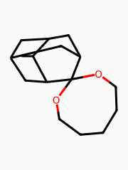 CC1C2CC3CC(C2)C2(OCCCCCO2)C1C3